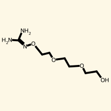 NC(N)=NOCCOCCOCCO